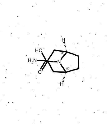 NC1C[C@H]2CC[C@@H](C1)N2C(=O)O